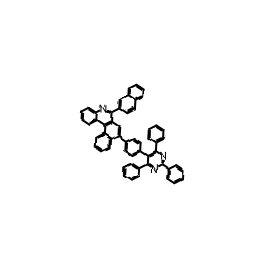 c1ccc(-c2nc(-c3ccccc3)c(-c3ccc(-c4cc5c(-c6ccc7ccccc7c6)nc6ccccc6c5c5ccccc45)cc3)c(-c3ccccc3)n2)cc1